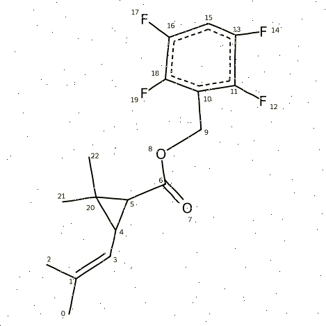 CC(C)=CC1C(C(=O)OCc2c(F)c(F)cc(F)c2F)C1(C)C